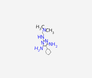 CN(C)CCNc1nc(N)c(C2CCCCC2)c(N)n1